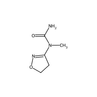 CN(C(N)=O)C1=NOCC1